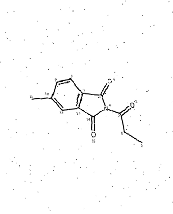 CCC(=O)N1C(=O)c2ccc(C)cc2C1=O